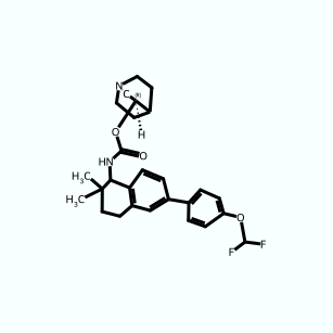 CC1(C)CCc2cc(-c3ccc(OC(F)F)cc3)ccc2C1NC(=O)O[C@H]1CN2CCC1CC2